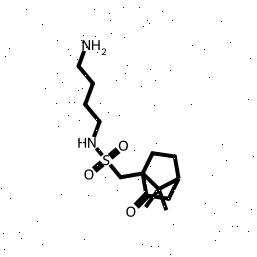 CC1(C)C2CCC1(CS(=O)(=O)NCCCCN)C(=O)C2